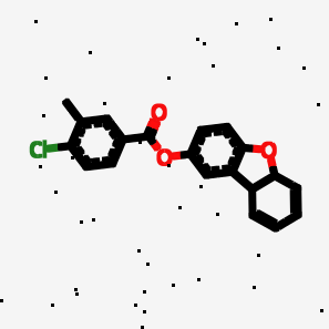 Cc1cc(C(=O)Oc2ccc3c(c2)C2C=CC=CC2O3)ccc1Cl